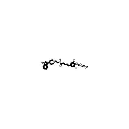 COCCOCOc1c(Cl)cc(C=CC=CC(=O)NCCN2CCC(c3c[nH]c4ccccc34)CC2)cc1Cl